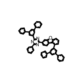 c1ccc(-c2cc(-c3ccccc3)cc(-c3nc(-c4ccccc4)nc(-c4ccc5c(c4)oc4cccc(-c6cc(-c7ccccc7)cc(-c7ccccc7)c6)c45)n3)c2)cc1